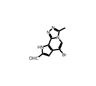 Cc1nnc2c3[nH]c(C=O)cc3c(Br)cn12